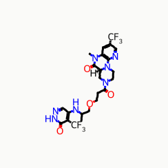 CC(COCCC(=O)N1CCN2c3ncc(C(F)(F)F)cc3N(C)C(=O)[C@H]2C1)Nc1cn[nH]c(=O)c1C(F)(F)F